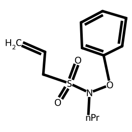 C=CCS(=O)(=O)N(CCC)Oc1ccccc1